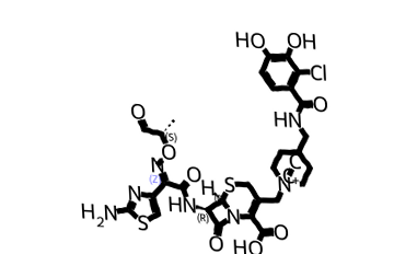 C[C@@H](C=O)O/N=C(\C(=O)N[C@@H]1C(=O)N2C(C(=O)O)=C(C[N+]34CCC(CNC(=O)c5ccc(O)c(O)c5Cl)(CC3)CC4)CS[C@H]12)c1csc(N)n1